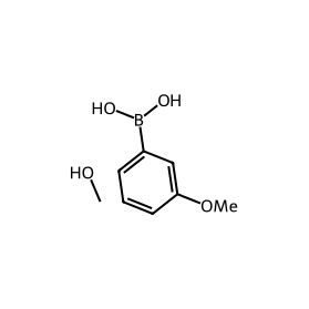 CO.COc1cccc(B(O)O)c1